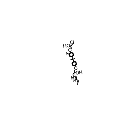 CC(C)(c1ccc(OC[C@@H](O)Cn2cc(CF)nn2)cc1)c1ccc(OC[C@@H](O)CCl)c(I)c1